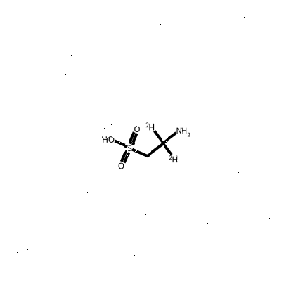 [2H]C([2H])(N)CS(=O)(=O)O